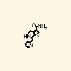 NC(=O)c1csc2c1CCNC2Cc1ccccn1